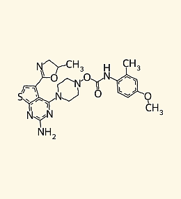 COc1ccc(NC(=O)ON2CCN(c3nc(N)nc4scc(C5=NCC(C)O5)c34)CC2)c(C)c1